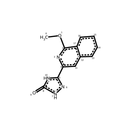 COc1nc(-c2n[nH]c(=O)[nH]2)cc2ccccc12